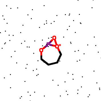 C1CC[o+]2op2OC1